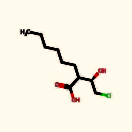 CCCCCCC(C(=O)O)[C@@H](O)CCl